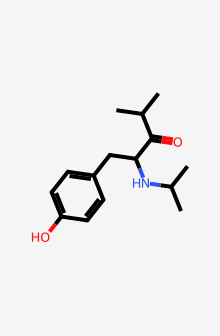 CC(C)NC(Cc1ccc(O)cc1)C(=O)C(C)C